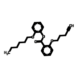 C#CCCCOc1ccccc1C(=O)Oc1ccccc1OCCCCCC